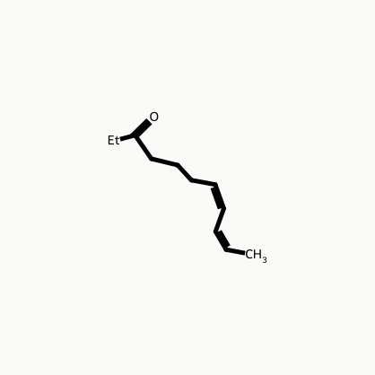 C/C=C\C=C/CCCC(=O)CC